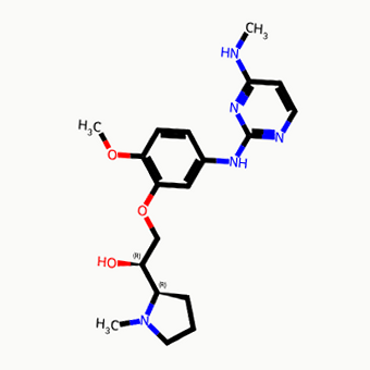 CNc1ccnc(Nc2ccc(OC)c(OC[C@H](O)[C@H]3CCCN3C)c2)n1